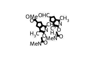 CNC(=O)COc1nc(C)c2c(c1C)CC(C(=O)OC)C2.CNC(=O)COc1nc(C)c2c(c1C)CC(C=O)C2